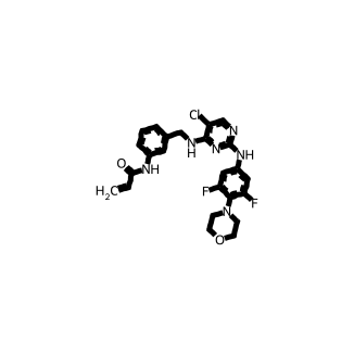 C=CC(=O)Nc1cccc(CNc2nc(Nc3cc(F)c(N4CCOCC4)c(F)c3)ncc2Cl)c1